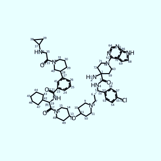 NC1(C(=O)N[C@@H](CCN2CCC(OC3CCN(C(=O)[C@H](NC(=O)c4cccc(C5CCCN(C(=O)CNC6CC6)C5)c4)C4CCCCC4)CC3)CC2)c2ccc(Cl)cc2)CCN(c2ncnc3[nH]ccc23)CC1